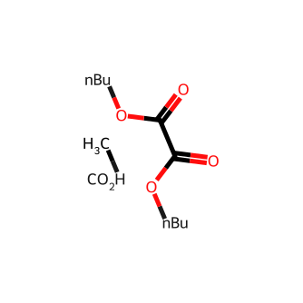 CC(=O)O.CCCCOC(=O)C(=O)OCCCC